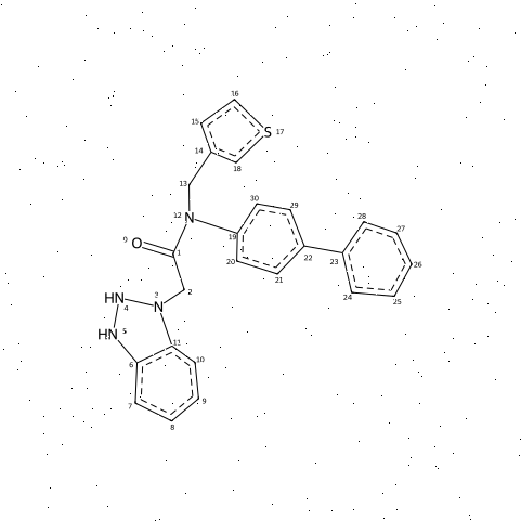 O=C(CN1NNc2ccccc21)N(Cc1ccsc1)c1ccc(-c2ccccc2)cc1